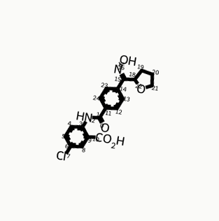 O=C(Nc1ccc(Cl)cc1C(=O)O)c1ccc(C(=NO)C2CCCO2)cc1